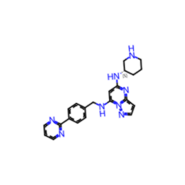 c1cnc(-c2ccc(CNc3cc(N[C@H]4CCCNC4)nc4ccnn34)cc2)nc1